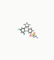 CS(=O)(=O)c1ccc(C2=C(c3cc(F)cc(F)c3)CCC2)cc1